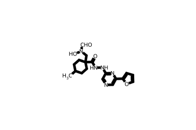 CC1CCC(CN(O)C=O)(C(=O)NNc2cncc(-c3ccco3)n2)CC1